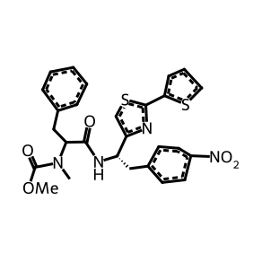 COC(=O)N(C)C(Cc1ccccc1)C(=O)N[C@@H](Cc1ccc([N+](=O)[O-])cc1)c1csc(-c2cccs2)n1